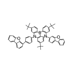 CC(C)(C)c1ccc2c(c1)N(c1ccc(-c3cccc4c3oc3ccccc34)cc1)c1cc(C(C)(C)C)cc3c1B2c1ccc(C(C)(C)C)cc1N3c1ccc2c(c1)oc1ccccc12